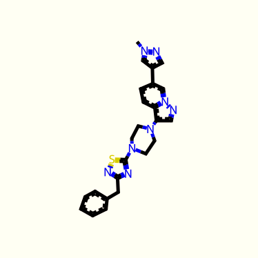 Cn1cc(-c2ccc3c(N4CCN(c5nc(Cc6ccccc6)ns5)CC4)cnn3c2)cn1